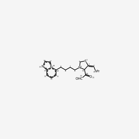 CCCC=C1SCN(CCCCc2cccc3nccn23)C1C(=O)C=O